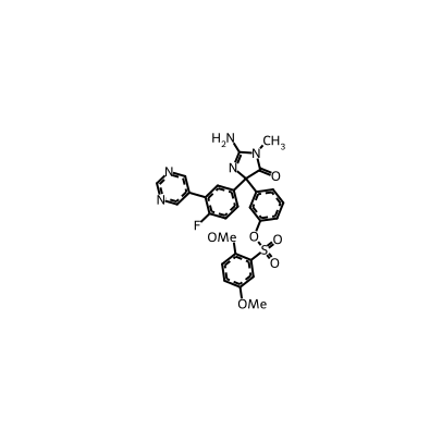 COc1ccc(OC)c(S(=O)(=O)Oc2cccc(C3(c4ccc(F)c(-c5cncnc5)c4)N=C(N)N(C)C3=O)c2)c1